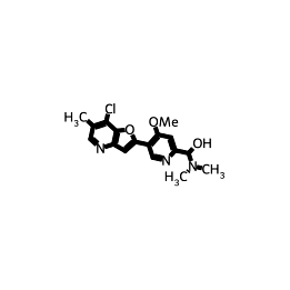 COc1cc(C(O)N(C)C)ncc1-c1cc2ncc(C)c(Cl)c2o1